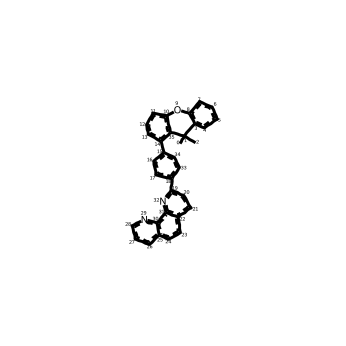 CC1(C)c2ccccc2Oc2cccc(-c3ccc(-c4ccc5ccc6cccnc6c5n4)cc3)c21